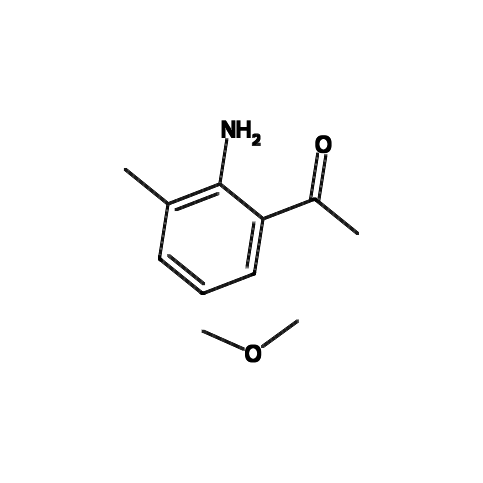 CC(=O)c1cccc(C)c1N.COC